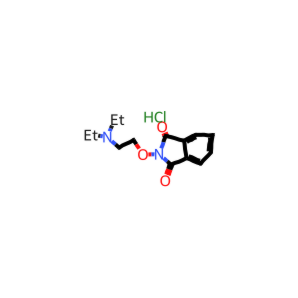 CCN(CC)CCON1C(=O)c2ccccc2C1=O.Cl